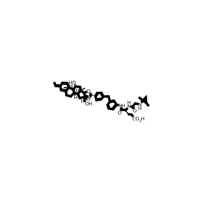 C/C=C1\C=C[C@@]2(C)C(=C1)CC[C@@H]1[C@@H]2[C@@H](O)C[C@@]2(C)[C@H]1C[C@H]1O[C@@H](c3ccc(Cc4cccc(NC(=O)[C@H](CCC(=O)O)NC(=O)CNC5(C)CC5C)c4)cc3)O[C@]12C(=O)CO